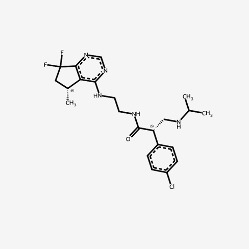 CC(C)NC[C@@H](C(=O)NCCNc1ncnc2c1[C@H](C)CC2(F)F)c1ccc(Cl)cc1